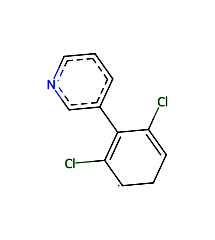 ClC1=CC[CH]C(Cl)=C1c1cccnc1